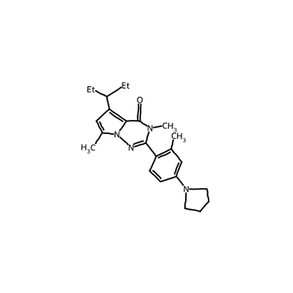 CCC(CC)c1cc(C)n2nc(-c3ccc(N4CCCC4)cc3C)n(C)c(=O)c12